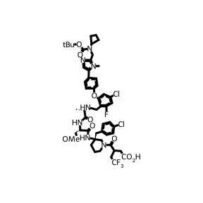 COC[C@H](NC(=O)[C@H](C)NCc1c(F)cc(Cl)cc1Oc1ccc(-c2cnc(CN(C(=O)OC(C)(C)C)C3CCC3)n2C)cc1)C(=O)N[C@@]1(Cc2ccc(Cl)cc2)CCCN(C(=O)C(CC(=O)O)CC(F)(F)F)C1